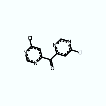 O=C(c1cc(Cl)ncn1)c1cc(Cl)ncn1